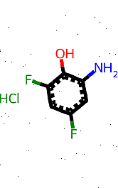 Cl.Nc1cc(F)cc(F)c1O